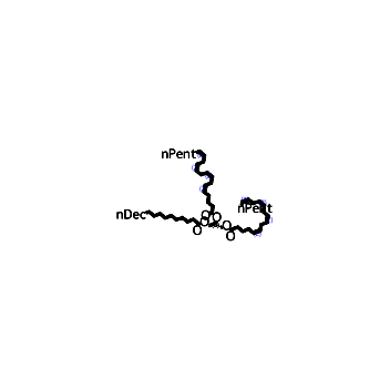 CCCCC/C=C\C/C=C\C/C=C\C/C=C\CCCC(=O)OC[C@H](COC(=O)CCCCCCCCCCCCCCCCCCC)OC(=O)CCC/C=C\C/C=C\C/C=C\C/C=C\CCCCC